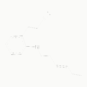 CCC=CCCNc1ccccc1CCC#N